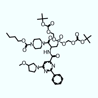 CCCCOC(=O)N1CCN(C(=O)C(CP(=O)(OCOC(=O)OC(C)(C)C)OCOC(=O)OC(C)(C)C)NC(=O)c2cc(N3CCC(OC)C3)nc(-c3ccccc3)n2)CC1